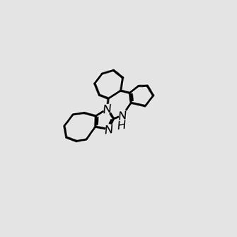 C1CCCc2c(nc3n2C2CCCCCC2C2=C(CCCC2)N3)CC1